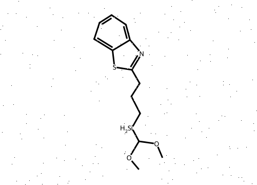 COC(OC)[SiH2]CCCc1nc2ccccc2s1